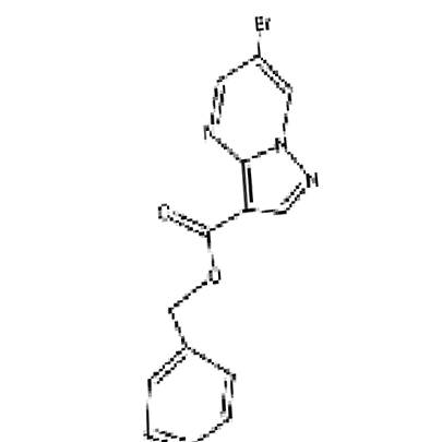 O=C(OCc1ccccc1)c1cnn2cc(Br)cnc12